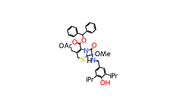 CO[C@@]1(N=Cc2cc(C(C)C)c(O)c(C(C)C)c2)C(=O)N2C(C(=O)OC(c3ccccc3)c3ccccc3)=C(COC(C)=O)CS[C@H]21